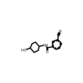 N#Cc1cccc(C(=O)NC2CCC(O)CC2)c1